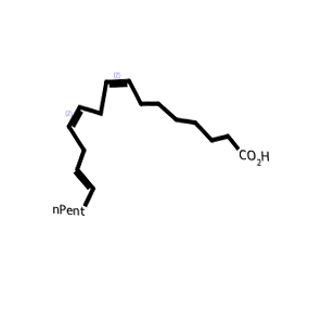 CCCCCC=CC/C=C\C/C=C\CCCCCCC(=O)O